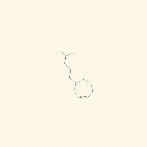 CCCC(N)CCCC1CC=CCCC1